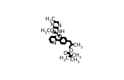 COc1nc(C)cnc1NS(=O)(=O)c1cccnc1-c1ccc(CC(C)COC(=O)C(C)(C)C)cc1